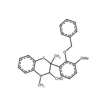 COc1cccc(C2(C)Sc3ccccc3N(C)C2C=O)c1OCc1ccccc1